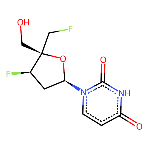 O=c1ccn([C@H]2C[C@@H](F)[C@](CO)(CF)O2)c(=O)[nH]1